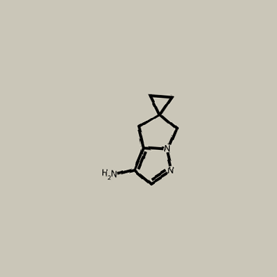 Nc1cnn2c1CC1(CC1)C2